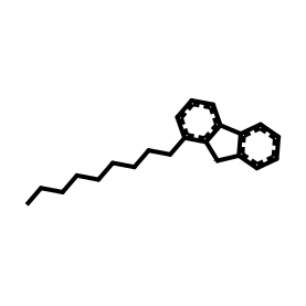 CCCCCCCCCc1cccc2c1[CH]c1ccccc1-2